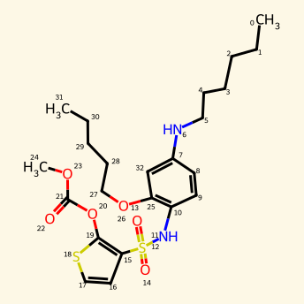 CCCCCCNc1ccc(NS(=O)(=O)c2ccsc2OC(=O)OC)c(OCCCCC)c1